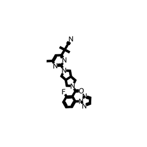 Cc1cc(C(C)(C)C#N)nc(N2CC3CN(C(=O)c4c(F)cccc4-n4nccn4)CC3C2)n1